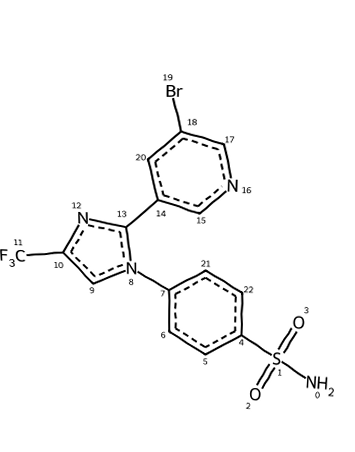 NS(=O)(=O)c1ccc(-n2cc(C(F)(F)F)nc2-c2cncc(Br)c2)cc1